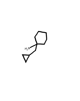 NC1(CC2CC2)CCCCC1